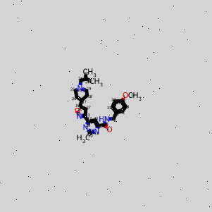 COc1ccc(CNC(=O)c2cc(C3=NOC(C4CCN(C[C](C)C)CC4)C3)nc(C)n2)cc1